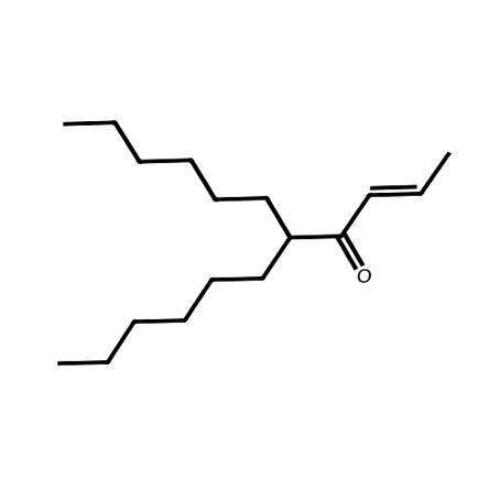 C/C=C/C(=O)C(CCCCCC)CCCCCC